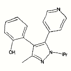 Cc1nn(C(C)C)c(-c2ccncc2)c1-c1ccccc1O